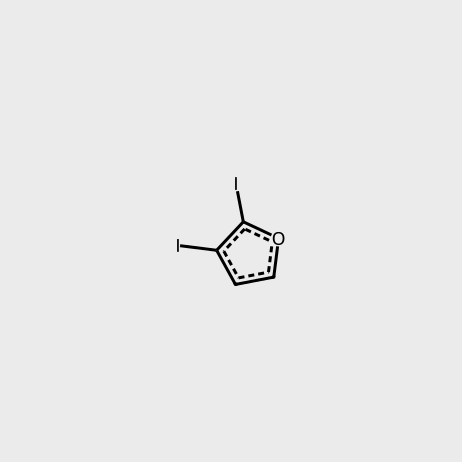 Ic1ccoc1I